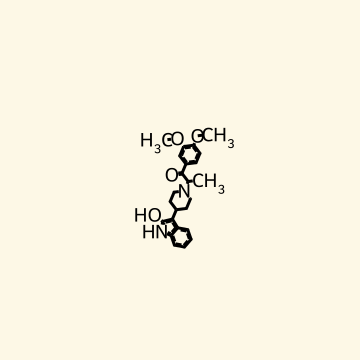 COc1ccc(C(=O)C(C)N2CCC(c3c(O)[nH]c4ccccc34)CC2)cc1OC